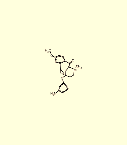 COc1ccc(C(=O)N2C[C@H](Oc3cc(N)ccn3)CC[C@H]2C)c(C2CC2)n1